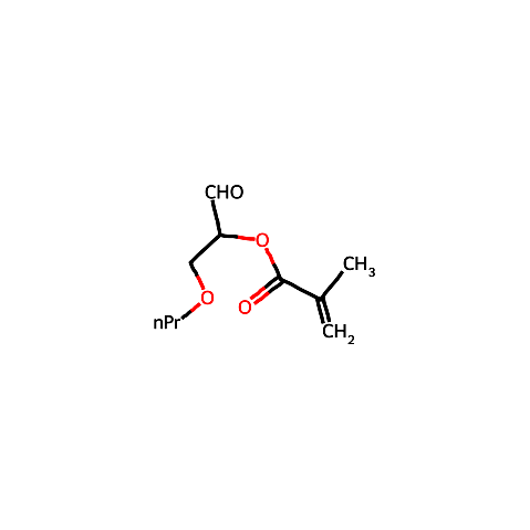 C=C(C)C(=O)OC(C=O)COCCC